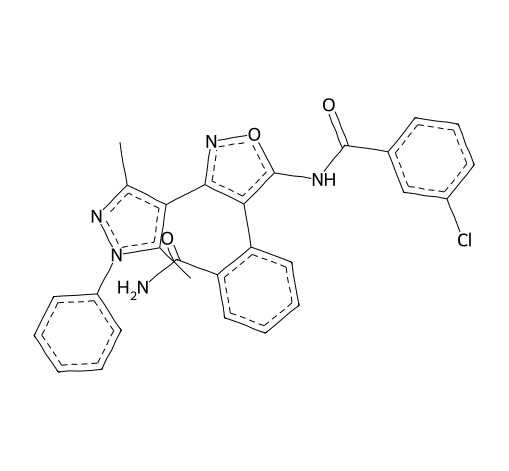 Cc1nn(-c2ccccc2)c(C)c1-c1noc(NC(=O)c2cccc(Cl)c2)c1-c1ccccc1C(N)=O